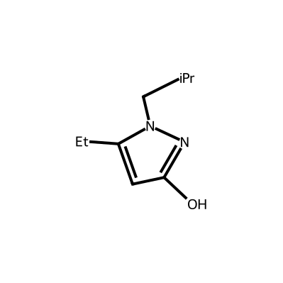 CCc1cc(O)nn1CC(C)C